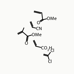 C=C(C)C(=O)OC.C=C(Cl)Cl.C=CC#N.C=CC(=O)O.C=CC(=O)OC